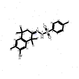 Cc1ccc(S(=O)(=O)N/N=C2/CC(C)(C)c3cc(C)c(Br)cc3C2(C)C)cc1